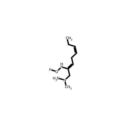 CC/C=C\C/C=C(/CN(C)N)NOF